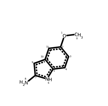 COc1ccc2[nH]c(N)cc2c1